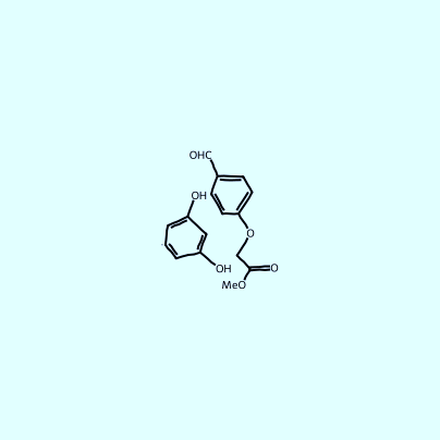 COC(=O)COc1ccc(C=O)cc1.Oc1c[c]cc(O)c1